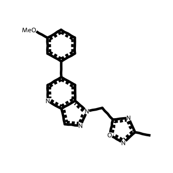 COc1cccc(-c2cnc3cnn(Cc4nc(C)no4)c3c2)c1